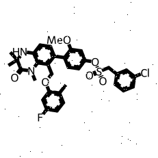 COc1cc(OS(=O)(=O)Cc2cccc(Cl)c2)ccc1-c1ccc2c(c1COc1cc(F)ccc1C)N(C)C(=O)C(C)(C)N2